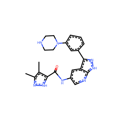 Cc1n[nH]c(C(=O)Nc2cnc3[nH]nc(-c4cccc(N5CCNCC5)c4)c3c2)c1C